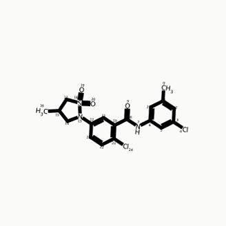 Cc1cc(Cl)cc(NC(=O)c2cc(N3CC(C)CS3(=O)=O)ccc2Cl)c1